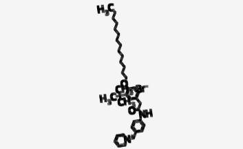 CCCCCCCCCCCCCCOc1ccc(CC(=O)Nc2ccc(C[n+]3ccccc3)cc2)cc1C(C)(C)C.[Br-]